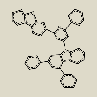 c1ccc(-c2cc(-c3ccccc3)c3c4ccccc4n(-c4nc(-c5ccccc5)nc(-c5ccc6c(c5)oc5ccccc56)n4)c3c2)cc1